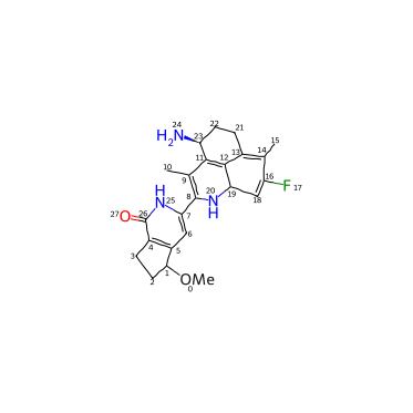 COC1CCc2c1cc(C1=C(C)C3=C4C(=C(C)C(F)=CC4N1)CC[C@@H]3N)[nH]c2=O